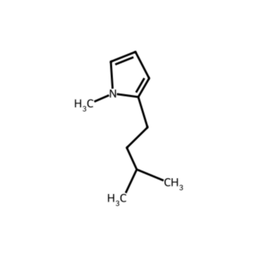 CC(C)CCc1cccn1C